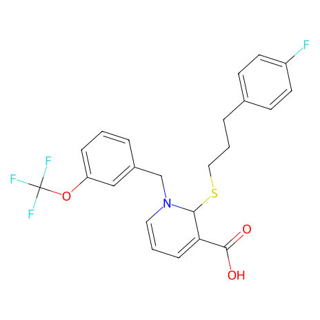 O=C(O)C1=CC=CN(Cc2cccc(OC(F)(F)F)c2)C1SCCCc1ccc(F)cc1